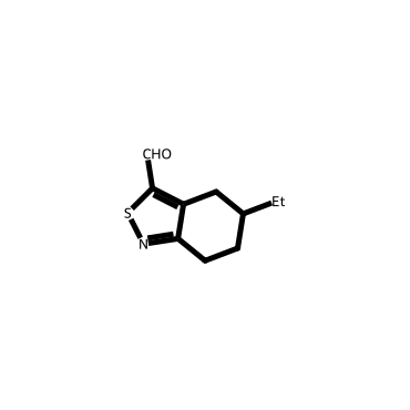 CCC1CCc2nsc(C=O)c2C1